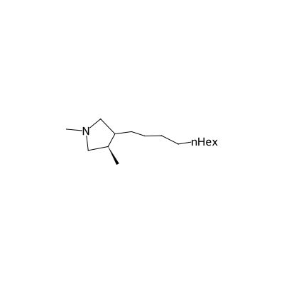 CCCCCCCCCCC1CN(C)C[C@@H]1C